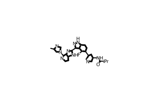 Cc1cn(-c2nccc3[nH]c(-c4n[nH]c5ccc(-c6cncc(NC(=O)C(C)C)c6)c(F)c45)nc23)cn1